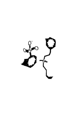 C=CCC[N+](C)(C)CCc1ccccc1.O=S(=O)([O-])c1ccccc1